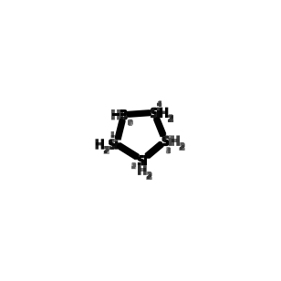 B1[SiH2][SiH2][SiH2][SiH2]1